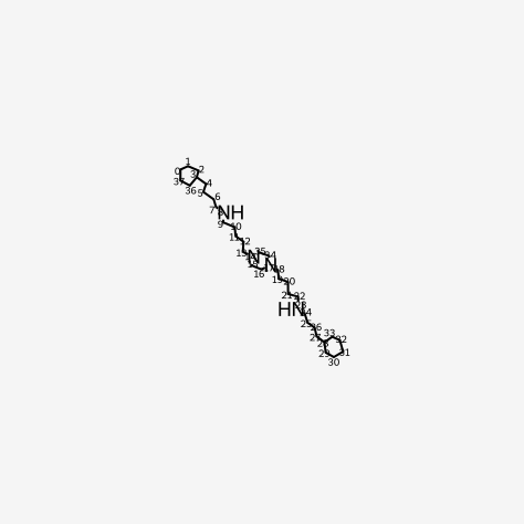 C1CCC(CCCCNCCCCCN2CCN(CCCCCNCCCCC3CCCCC3)CC2)CC1